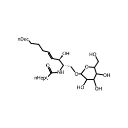 CCCCCCCCCCCCC/C=C/[C@@H](O)[C@H](COC1OC(CO)C(O)C(O)C1O)NC(=O)CCCCCCC